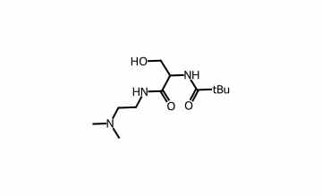 CN(C)CCNC(=O)C(CO)NC(=O)C(C)(C)C